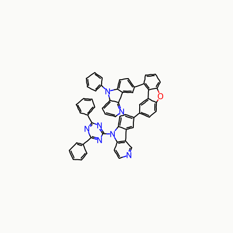 c1ccc(-c2nc(-c3ccccc3)nc(-n3c4ccncc4c4cc(-c5ccc6oc7cccc(-c8ccc9c(c8)c8ncccc8n9-c8ccccc8)c7c6c5)ccc43)n2)cc1